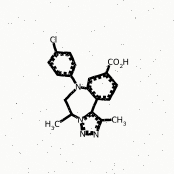 Cc1nnn2c1-c1ccc(C(=O)O)cc1N(c1ccc(Cl)cc1)CC2C